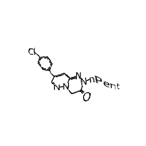 CCCCCN1N=C2C=C(c3ccc(Cl)cc3)C=NN2CC1=O